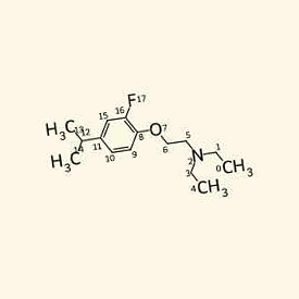 CCN(CC)CCOc1ccc(C(C)C)cc1F